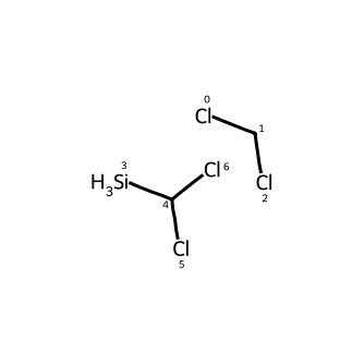 ClCCl.[SiH3]C(Cl)Cl